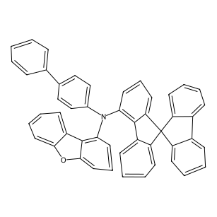 c1ccc(-c2ccc(N(c3cccc4c3-c3ccccc3C43c4ccccc4-c4ccccc43)c3cccc4oc5ccccc5c34)cc2)cc1